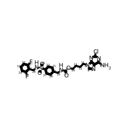 Nc1nc(Cl)nc2c1ncn2CCCCOC(=O)NCc1ccc(S(=O)(=O)NCc2c(F)cccc2F)cc1